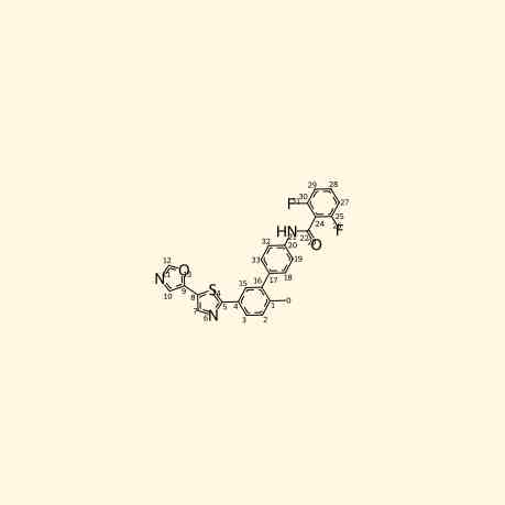 Cc1ccc(-c2ncc(-c3cnco3)s2)cc1-c1ccc(NC(=O)c2c(F)cccc2F)cc1